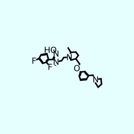 CC1CCC(COc2cccc(CN3CCCC3)c2)CN1CCN(C)C(=NO)c1ccc(F)cc1F